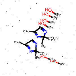 CC(C)(C)C1=NC(C(=O)O)(C(C)(C)C)N=C1.CC(C)(C)C1=NC(C(=O)O)(C(C)(C)C)N=C1.CC(C)O.CC(C)O.CC(C)O.CC(C)O.CC(C)O.CC(C)O